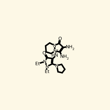 CCn1c(N2CCCC2)c(N[N+]23CCCCN2C(=O)C(N)=C3N)c(=O)n1CC